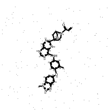 C=CC(=O)N1CC2CCC1CN2c1ncc2ncnc(Nc3ccc(Oc4ccc5c(c4)nnn5C)c(C)c3)c2n1